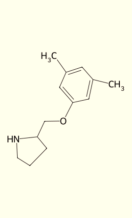 Cc1cc(C)cc(OCC2CCCN2)c1